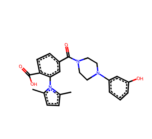 Cc1ccc(C)n1-c1cc(C(=O)N2CCN(c3cccc(O)c3)CC2)ccc1C(=O)O